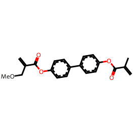 C=C(C)C(=O)Oc1ccc(-c2ccc(OC(=O)C(=C)COC)cc2)cc1